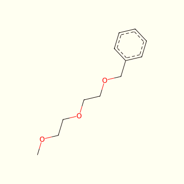 COCCOCCOCc1ccccc1